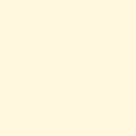 CCOCC(=O)Nc1cccc(OCC)c1